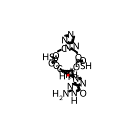 Nc1nc2c(ncn2[C@@H]2C[C@@H]3COP(=O)(S)OCCn4c(nc5cncnc54)COP(=O)(S)O[C@@H]2[C@@H]3F)c(=O)[nH]1